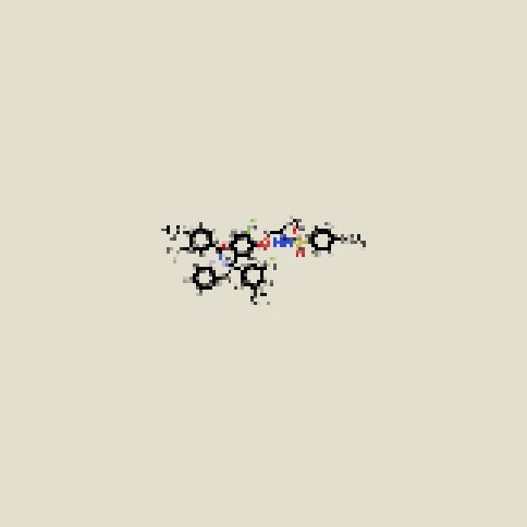 Cc1ccc(C(=O)N[C@@](Cc2ccccc2)(c2cc(F)cc(C(F)(F)F)c2)c2ccc(F)c(OCC(NS(=O)(=O)c3ccc([N+](=O)[O-])cc3)C(C)C)c2)cc1C(F)(F)F